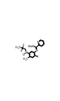 CN/C(=N\c1cc([S+]([O-])CC(C)(F)F)c(C)cc1F)c1ccccn1